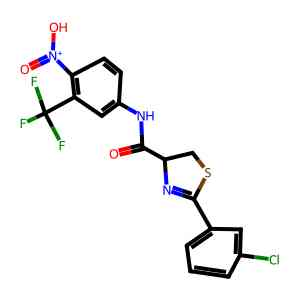 O=C(Nc1ccc([N+](=O)O)c(C(F)(F)F)c1)C1CSC(c2cccc(Cl)c2)=N1